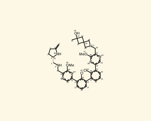 C=C1CC[C@@H](CNCc2ncc(-c3cccc(-c4cccc(-c5cnc(CN6CC7(C6)CC(C)(O)C7)c(OC)n5)c4Cl)c3Cl)nc2OC)N1